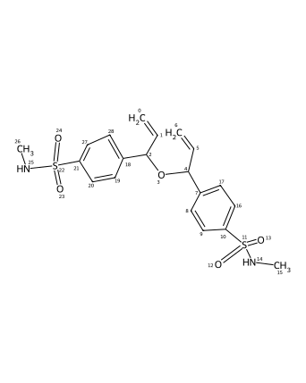 C=CC(OC(C=C)c1ccc(S(=O)(=O)NC)cc1)c1ccc(S(=O)(=O)NC)cc1